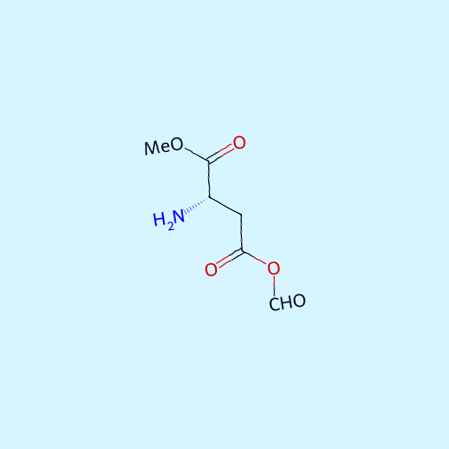 COC(=O)[C@@H](N)CC(=O)OC=O